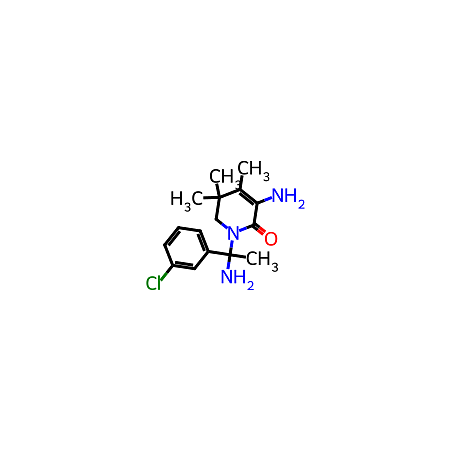 CC1=C(N)C(=O)N(C(C)(N)c2cccc(Cl)c2)CC1(C)C